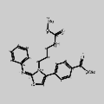 COC(=O)c1ccc(-c2csc(=Nc3ccccc3)n2CCCNC(=O)OC(C)(C)C)cc1